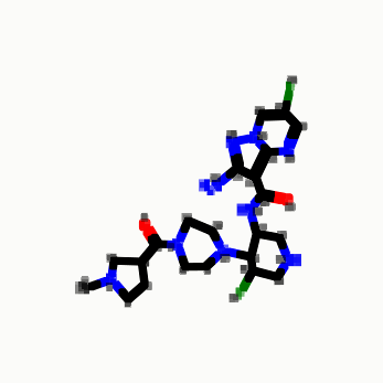 CC(C)N1CCC(C(=O)N2CCN(C3C(F)CNCC3NC(=O)c3c(N)nn4cc(F)cnc34)CC2)C1